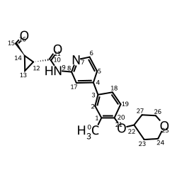 Cc1cc(-c2ccnc(NC(=O)[C@@H]3C[C@H]3C=O)c2)ccc1OC1CCOCC1